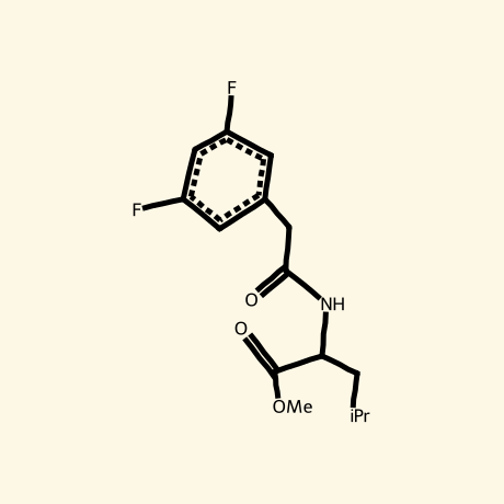 COC(=O)C(CC(C)C)NC(=O)Cc1cc(F)cc(F)c1